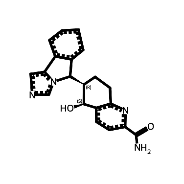 NC(=O)c1ccc2c(n1)CC[C@H](C1c3ccccc3-c3cncn31)[C@@H]2O